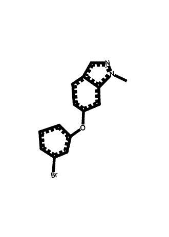 Cn1ncc2ccc(Oc3cccc(Br)c3)cc21